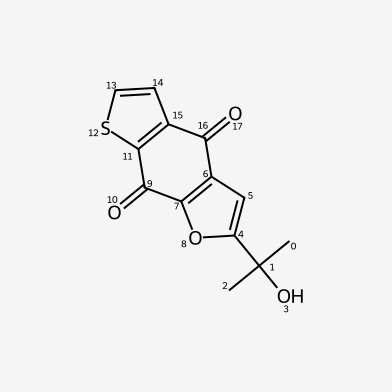 CC(C)(O)c1cc2c(o1)C(=O)c1sccc1C2=O